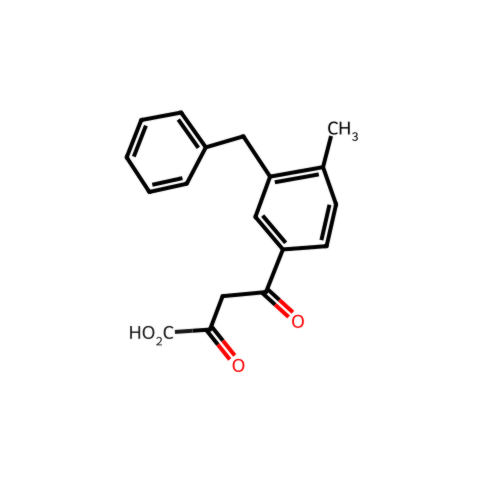 Cc1ccc(C(=O)CC(=O)C(=O)O)cc1Cc1ccccc1